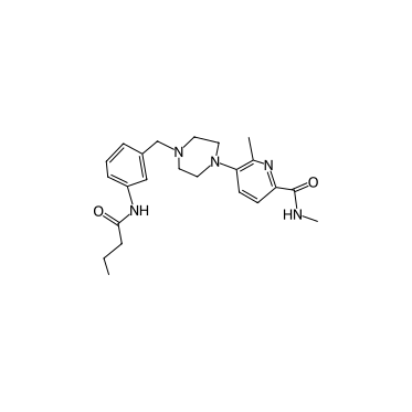 CCCC(=O)Nc1cccc(CN2CCN(c3ccc(C(=O)NC)nc3C)CC2)c1